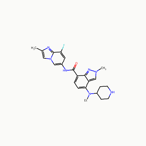 CCN(c1ccc(C(=O)Nc2cc(F)c3nc(C)cn3c2)c2nn(C)cc12)C1CCNCC1